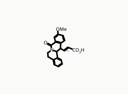 COc1ccc2c(c1)C(=O)N1CCc3ccccc3C1C2/C=C/C(=O)O